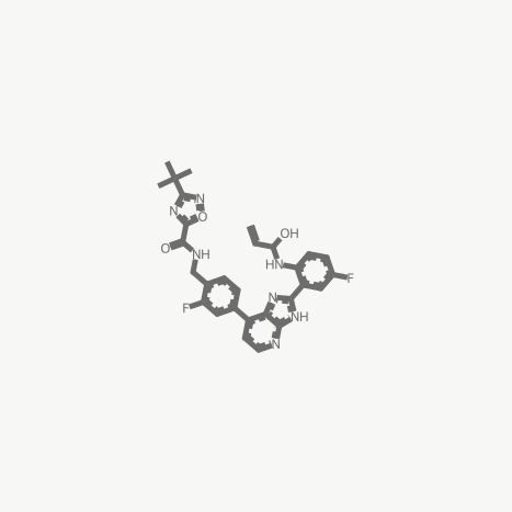 C=CC(O)Nc1ccc(F)cc1-c1nc2c(-c3ccc(CNC(=O)c4nc(C(C)(C)C)no4)c(F)c3)ccnc2[nH]1